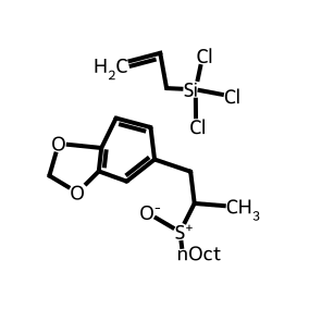 C=CC[Si](Cl)(Cl)Cl.CCCCCCCC[S+]([O-])C(C)Cc1ccc2c(c1)OCO2